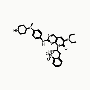 CCN(CC)c1cc2cnc(Nc3ccc(N(C)C4CCNCC4)cc3)nc2n(C2Cc3ccccc3S(=O)(=O)N2)c1=O